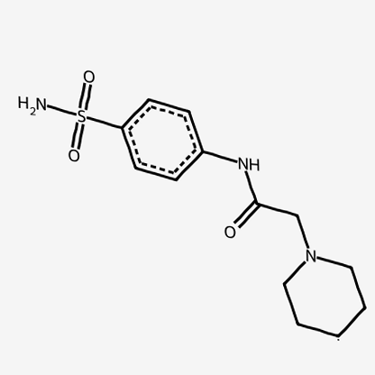 NS(=O)(=O)c1ccc(NC(=O)CN2CC[CH]CC2)cc1